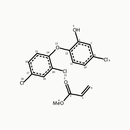 C=CC(=O)OC.Oc1cc(Cl)ccc1Oc1ccc(Cl)cc1Cl